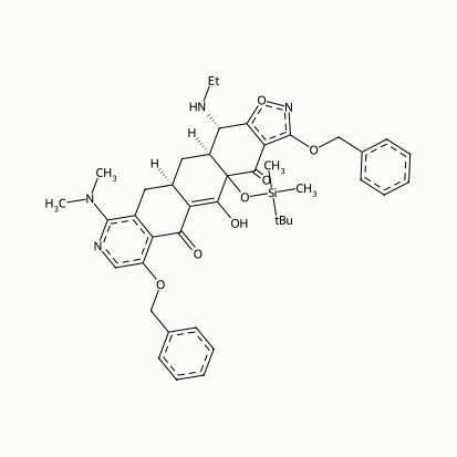 CCN[C@@H]1c2onc(OCc3ccccc3)c2C(=O)C2(O[Si](C)(C)C(C)(C)C)C(O)=C3C(=O)c4c(OCc5ccccc5)cnc(N(C)C)c4C[C@H]3C[C@@H]12